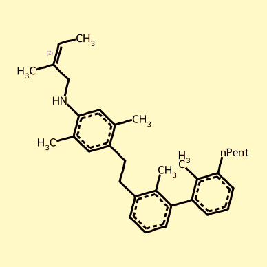 C/C=C(/C)CNc1cc(C)c(CCc2cccc(-c3cccc(CCCCC)c3C)c2C)cc1C